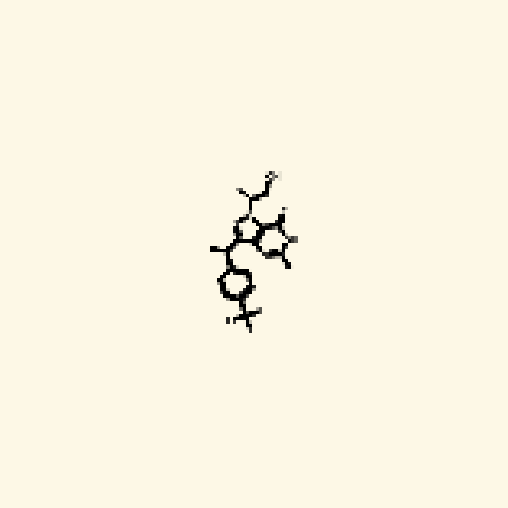 Cc1nc2c(C(C)c3ccc(C(F)(F)F)cc3)nn([C@@H](C)CO)c2c(=O)[nH]1